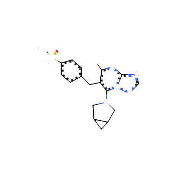 Cc1nc2ncnn2c(N2CC3CC3C2)c1Cc1ccc(S(C)(=N)=O)cc1